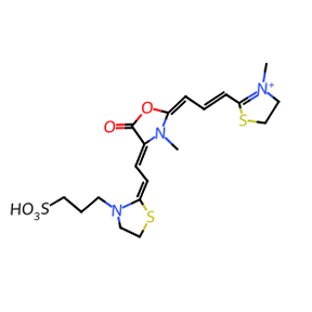 Cn1c(=CC=CC2=[N+](C)CCS2)oc(=O)c1=CC=C1SCCN1CCCS(=O)(=O)O